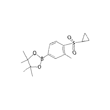 Cc1cc(B2OC(C)(C)C(C)(C)O2)ccc1S(=O)(=O)C1CC1